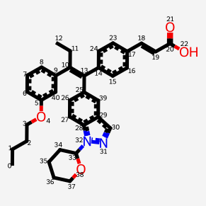 CCCCOc1cccc(C(CC)=C(c2ccc(C=CC(=O)O)cc2)c2ccc3c(cnn3C3CCCCO3)c2)c1